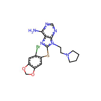 Nc1ncnc2c1nc(Sc1cc3c(cc1Br)OCO3)n2CCN1CCCC1